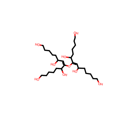 OCCCCCC(O)C=C(OC(=CC(O)CCCCCO)C(O)CCCCCO)C(O)CCCCCO